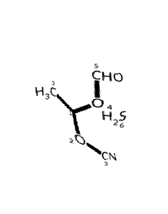 CC(OC#N)OC=O.S